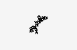 N#Cc1ccc2c(c1)c1c3c(ccc1n2-c1ccc(-c2ccc(-n4c5ccccc5c5c6oc7ccccc7c6ccc54)cc2)c(C#N)c1)oc1ccccc13